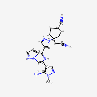 Cn1ncc(-c2cn3nccc3c(-c3cnn(C4(CC#N)CCC(C#N)CC4)c3)n2)c1N